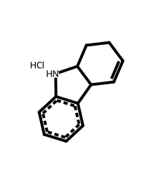 C1=CC2c3ccccc3NC2CC1.Cl